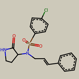 O=C1NCCC1N(C/C=C/c1ccccc1)S(=O)(=O)c1ccc(Cl)cc1